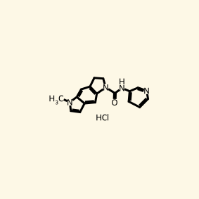 Cl.Cn1ccc2cc3c(cc21)CCN3C(=O)Nc1cccnc1